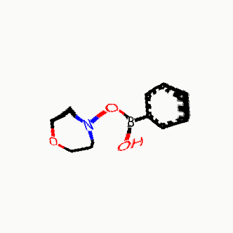 OB(ON1CCOCC1)c1ccccc1